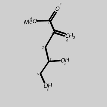 C=C(CC(O)CO)C(=O)OC